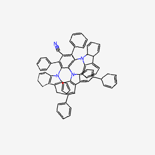 N#Cc1c(-c2ccccc2)c(N2c3ccccc3C3C=CC=CC32)c(-n2c3ccc(-c4ccccc4)cc3c3cc(C4C=CC=CC4)ccc32)c(-n2c3c(c4c2C=CCC4)CCC=C3)c1-c1ccccc1